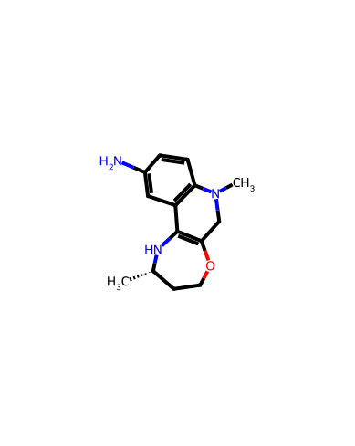 C[C@H]1CCOC2=C(N1)c1cc(N)ccc1N(C)C2